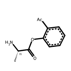 CC(=O)c1ccccc1OC(=O)[C@H](C)N